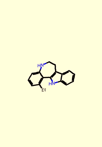 CCc1cccc2c1-c1[nH]c3ccccc3c1CCN2